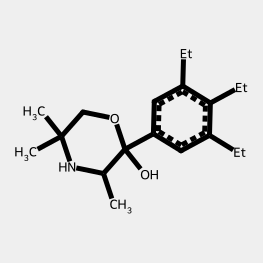 CCc1cc(C2(O)OCC(C)(C)NC2C)cc(CC)c1CC